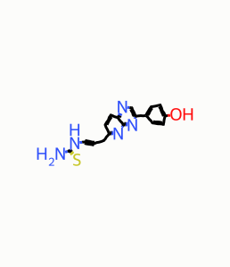 NC(=S)NC#CCc1ccc2ncc(-c3ccc(O)cc3)nc2n1